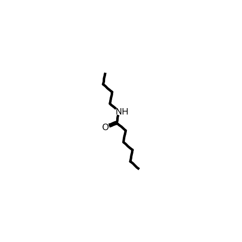 CCCCCC(=O)NCCCC